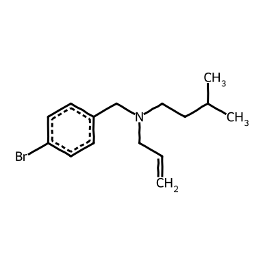 C=CCN(CCC(C)C)Cc1ccc(Br)cc1